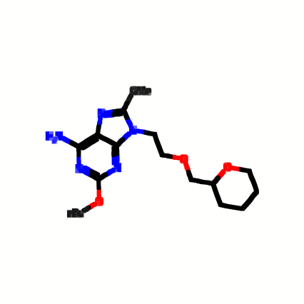 CCCCOc1nc(N)c2nc(OC)n(CCOCC3CCCCO3)c2n1